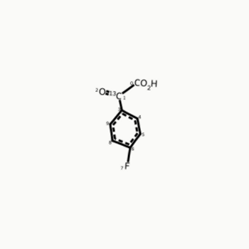 O=C(O)[13C](=O)c1ccc(F)cc1